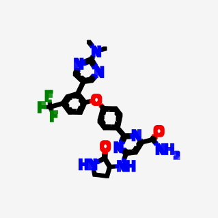 CN(C)c1ncc(-c2cc(C(F)(F)F)ccc2Oc2ccc(-c3nc(NC4CCNC4=O)cc(C(N)=O)n3)cc2)cn1